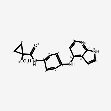 O=C(O)C1(C(=O)Nc2ccc(Nc3ccnc4[nH]ccc34)cc2)CC1